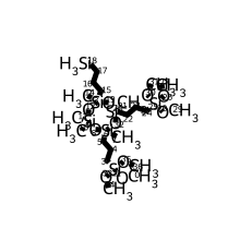 CO[Si](CCC[Si]1(C)O[Si](C)(C)O[Si](C)(CCC[SiH3])O[Si](C)(CCC[Si](OC)(OC)OC)O1)(OC)OC